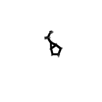 ClNC1C2COCC21